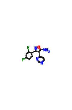 Nc1onc(-c2ccc(F)cc2F)c1-c1ccncn1